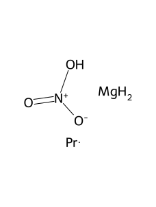 O=[N+]([O-])O.[MgH2].[Pr]